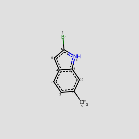 FC(F)(F)c1ccc2cc(Br)[nH]c2c1